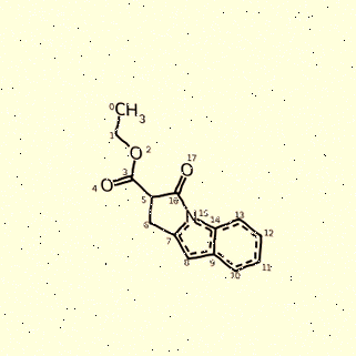 CCOC(=O)C1Cc2cc3ccccc3n2C1=O